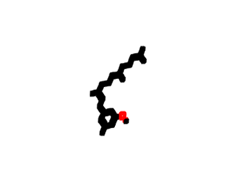 COc1cc(C)cc(C/C=C(\C)CC/C=C(\C)CCC=C(C)C)c1